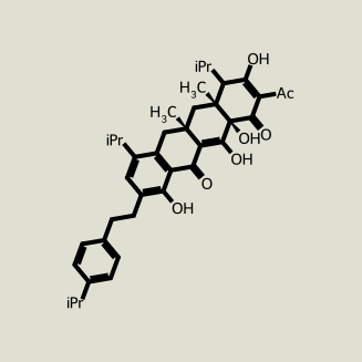 CC(=O)C1=C(O)C(C(C)C)[C@@]2(C)C[C@@]3(C)Cc4c(C(C)C)cc(CCc5ccc(C(C)C)cc5)c(O)c4C(=O)C3=C(O)[C@@]2(O)C1=O